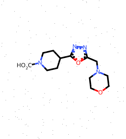 O=C(O)N1CCC(c2nnc(CN3CCOCC3)o2)CC1